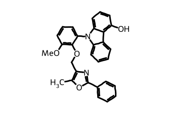 COc1cccc(-n2c3ccccc3c3c(O)cccc32)c1OCc1nc(-c2ccccc2)oc1C